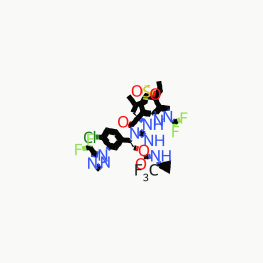 C=C(/C=C\C(=C/C)c1cnn(C(F)F)c1)[C@@]1(CC(C)CS(C)(=O)=O)NC(=N)N([C@H](COC(=O)NC2(C(F)(F)F)CC2)c2ccc(Cl)c(-n3ncnc3C(F)F)c2)C1=O